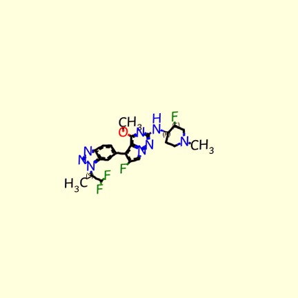 COc1nc(N[C@@H]2CCN(C)C[C@@H]2F)nn2cc(F)c(-c3ccc4nnn([C@@H](C)C(F)F)c4c3)c12